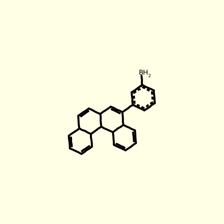 Bc1cccc(C2=CC3C=CC4C=CC=CC4C3C3C=CC=CC23)c1